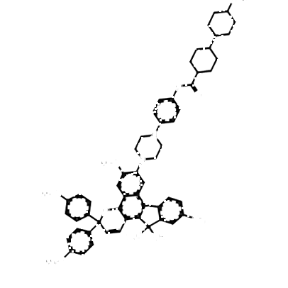 CCCCCC1CCC(C2CCC(C(=O)Oc3ccc(N4CCN(c5cc6c7c(c8c(c6cc5OC)OC(c5ccc(OC)cc5)(c5ccc(OC)cc5)C=C8)C(C)(C)c5cc(C(F)(F)F)ccc5-7)CC4)cc3)CC2)CC1